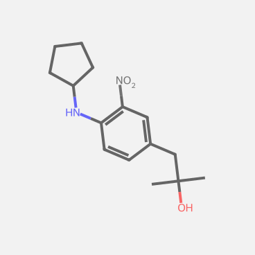 CC(C)(O)Cc1ccc(NC2CCCC2)c([N+](=O)[O-])c1